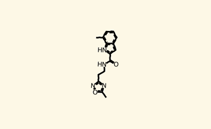 Cc1nc(CCNC(=O)c2cc3cccc(C)c3[nH]2)no1